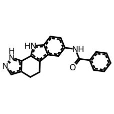 O=C(Nc1ccc2[nH]c3c(c2c1)CCc1cn[nH]c1-3)c1ccccc1